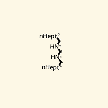 CCCCCCCCN[CH]NCCCCCCCC